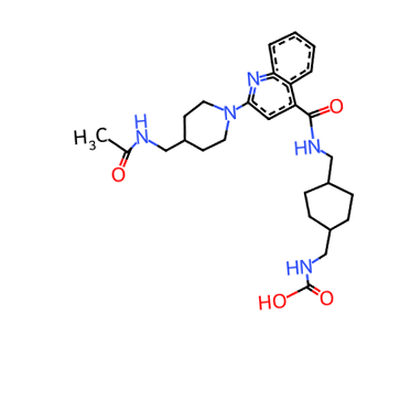 CC(=O)NCC1CCN(c2cc(C(=O)NCC3CCC(CNC(=O)O)CC3)c3ccccc3n2)CC1